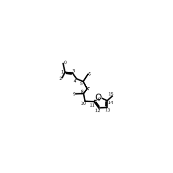 CC(C)=CCC(C)CC(C)Cc1ccc(C)o1